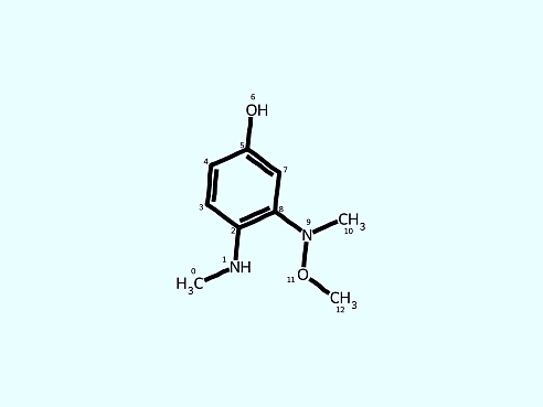 CNc1ccc(O)cc1N(C)OC